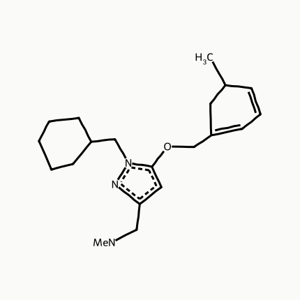 CNCc1cc(OCC2=CC=CC(C)C2)n(CC2CCCCC2)n1